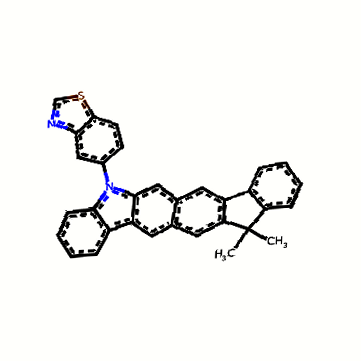 CC1(C)c2ccccc2-c2cc3cc4c(cc3cc21)c1ccccc1n4-c1ccc2scnc2c1